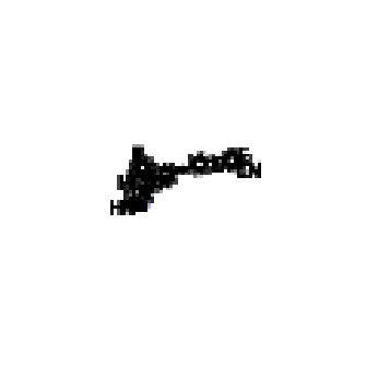 N#Cc1cc(OCc2ccc(C#Cc3ccc(C(F)(F)C(O)(CN/C=N\N=N)c4ccc(F)cc4F)nc3)cc2)ccc1F